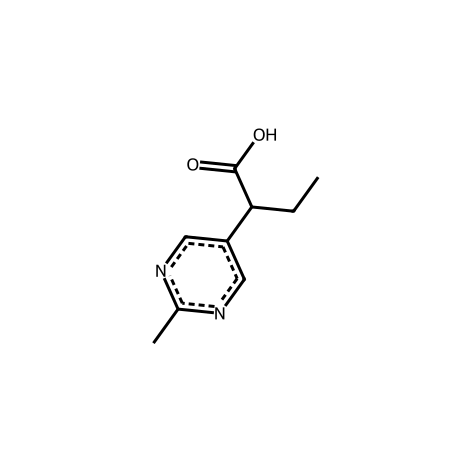 CCC(C(=O)O)c1cnc(C)nc1